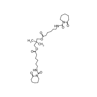 CC(C)(COC(=O)CCCCCNC(=O)N1CCCCCC1=O)COC(=O)CCCCCNC(=O)N1CCCCCC1=O